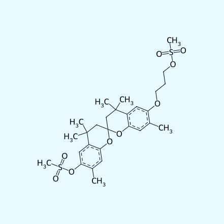 Cc1cc2c(cc1OCCCOS(C)(=O)=O)C(C)(C)CC1(CC(C)(C)c3cc(OS(C)(=O)=O)c(C)cc3O1)O2